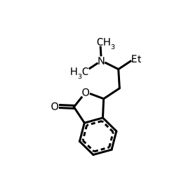 CCC(CC1OC(=O)c2ccccc21)N(C)C